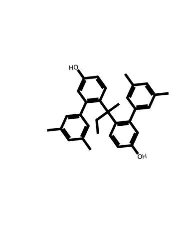 CCC(C)(c1ccc(O)cc1-c1cc(C)cc(C)c1)c1ccc(O)cc1-c1cc(C)cc(C)c1